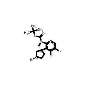 CC(C)(C)OC(=O)N1C[C@@]2(CC[C@@H](Br)C2)c2c1ncc(Br)c2Cl